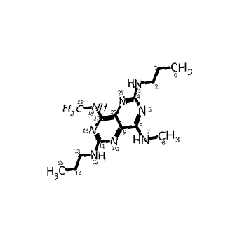 CCCNc1nc(NC)c2nc(NCCC)nc(NC)c2n1